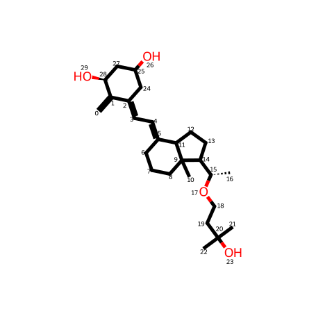 C=C1/C(=C/C=C2\CCCC3(C)C2CCC3[C@H](C)OCCC(C)(C)O)CC(O)C[C@@H]1O